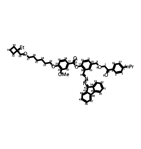 CCCc1ccc(C(=O)COCc2ccc(OC(=O)c3ccc(OCCCCCCOCC4(CC)CCC4)c(OC)c3)c(/C=N/N=C3c4ccccc4-c4ccccc43)c2)cc1